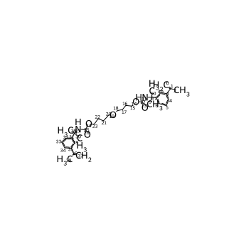 C=C(C)c1cccc(C(C)(C)NC(=O)OCCCCOCCCCOC(=O)NC(C)(C)c2cccc(C(=C)C)c2)c1